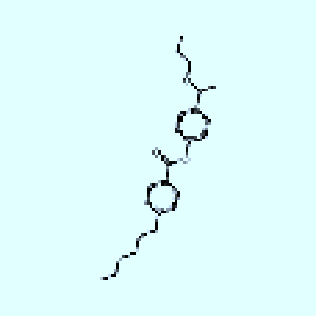 CCCCCCc1ccc(C(=O)Oc2ccc(C(C)OCCC)cc2)cc1